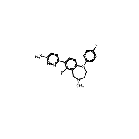 CN1CCN(c2ccc(F)cc2)c2ccc(-c3ccc(N)nn3)c(F)c2C1